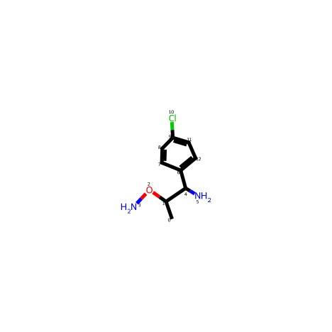 CC(ON)C(N)c1ccc(Cl)cc1